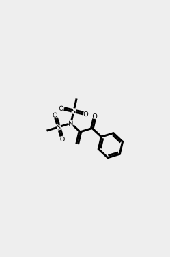 C=C(C(=O)c1ccccc1)N(S(C)(=O)=O)S(C)(=O)=O